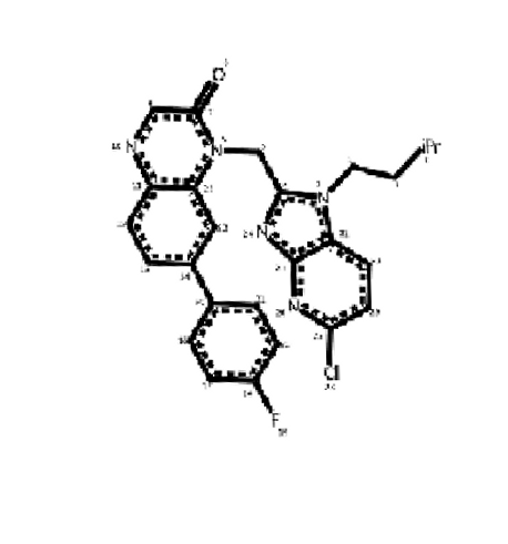 CC(C)CCn1c(Cn2c(=O)cnc3ccc(-c4ccc(F)cc4)cc32)nc2nc(Cl)ccc21